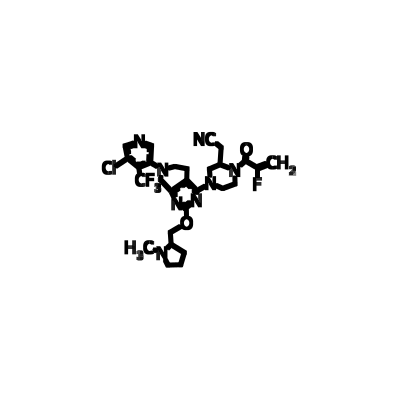 C=C(F)C(=O)N1CCN(c2nc(OCC3CCCN3C)nc3c2CCN(c2cncc(Cl)c2C(F)(F)F)C3)CC1CC#N